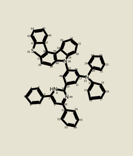 C1=C(c2ccccc2)NC(c2cc(N(c3ccccc3)c3ccccc3)cc(-n3c4ccccc4c4c5c(ccc43)sc3ccccc35)c2)N=C1c1ccccc1